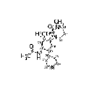 CC(=O)Nc1nc(C)c(N2CCCN(C)S2(=O)=O)cc1-c1ccncc1